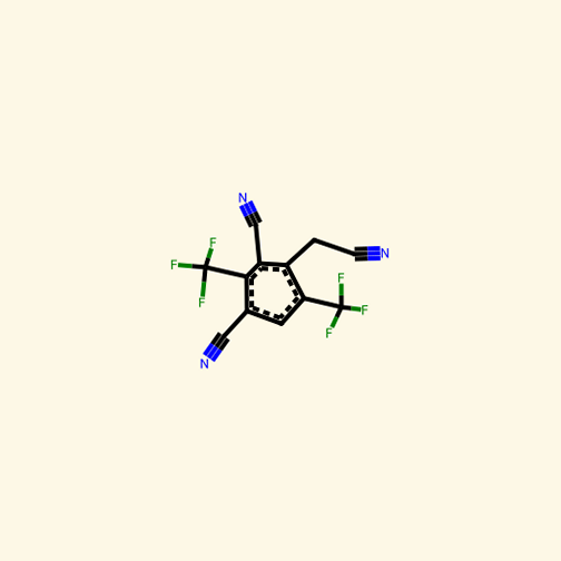 N#CCc1c(C(F)(F)F)cc(C#N)c(C(F)(F)F)c1C#N